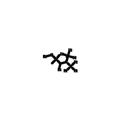 CCO[Si](C)(C)C(CC)N([Si](CC)(CC)CC)[Si](CC)(CC)CC